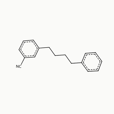 N#Cc1cccc(CCCCc2ccccc2)c1